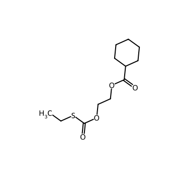 CCSC(=O)OCCOC(=O)C1CCCCC1